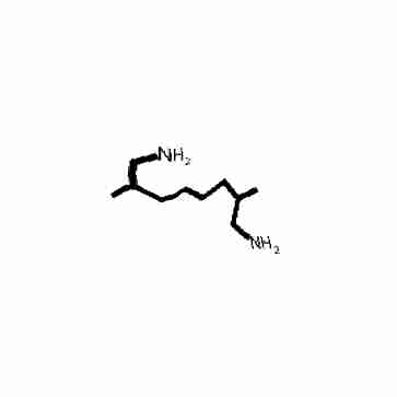 CC(CN)CCCCC(C)CN